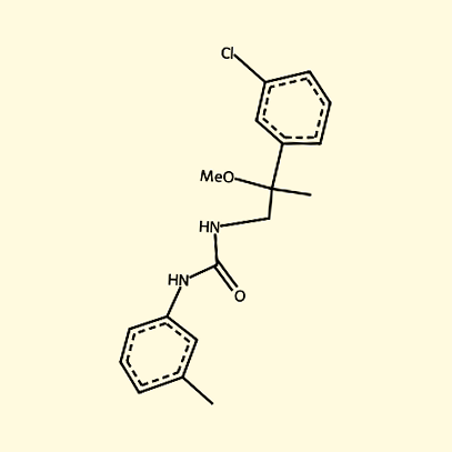 COC(C)(CNC(=O)Nc1cccc(C)c1)c1cccc(Cl)c1